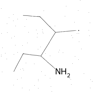 [CH2]C(CC)C(N)CC